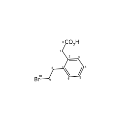 O=C(O)Cc1ccccc1CCBr